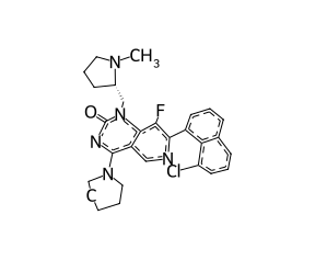 CN1CCC[C@H]1Cn1c(=O)nc(N2CCCCC2)c2cnc(-c3cccc4cccc(Cl)c34)c(F)c21